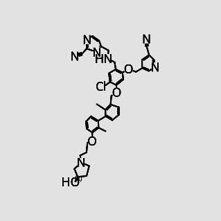 Cc1c(COc2cc(OCc3cncc(C#N)c3)c(CNCc3ccnc(C#N)n3)cc2Cl)cccc1-c1cccc(OCCCN2CC[C@@H](O)C2)c1C